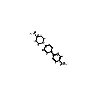 CCCCc1ccc(C2CCC([C@H]3CC[C@H](CCC)CC3)CC2)nc1